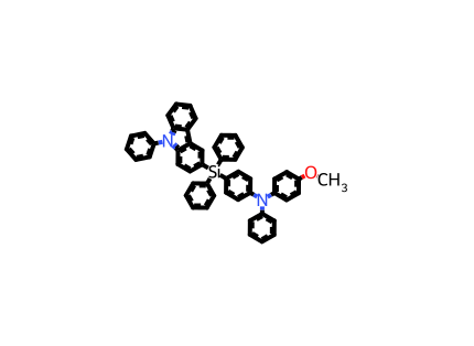 COc1ccc(N(c2ccccc2)c2ccc([Si](c3ccccc3)(c3ccccc3)c3ccc4c(c3)c3ccccc3n4-c3ccccc3)cc2)cc1